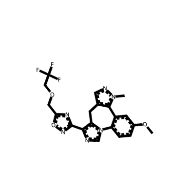 COc1ccc2c(c1)-c1c(cnn1C)Cc1c(-c3noc(COCC(F)(F)F)n3)ncn1-2